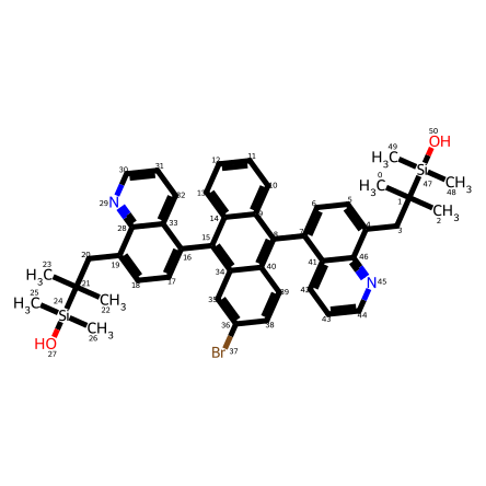 CC(C)(Cc1ccc(-c2c3ccccc3c(-c3ccc(CC(C)(C)[Si](C)(C)O)c4ncccc34)c3cc(Br)ccc23)c2cccnc12)[Si](C)(C)O